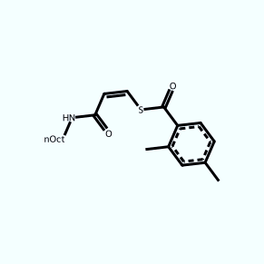 CCCCCCCCNC(=O)/C=C\SC(=O)c1ccc(C)cc1C